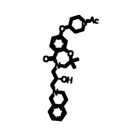 CC(=O)N1CCC(Oc2ccc3c(c2)OC(C)(C)CN(C[C@H](O)CN2CCc4ccccc4C2)C3=O)CC1